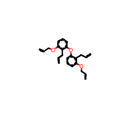 C=CCOc1cccc(Oc2cccc(OCC=C)c2CC=C)c1CC=C